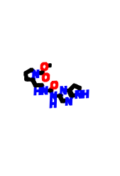 COC(=O)N1CCCC1CCNC(=O)Nc1cnc2c(n1)CCN2